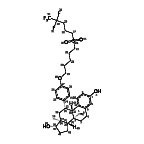 C=C[C@@]12CCc3cc(O)ccc3[C@H]1[C@@H](c1ccc(OCCCCCS(=O)(=O)CCCC(F)(F)C(F)(F)F)cc1)C[C@@]1(C)[C@H]2CC[C@@H]1O